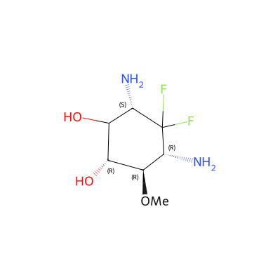 CO[C@H]1[C@H](O)C(O)[C@H](N)C(F)(F)[C@@H]1N